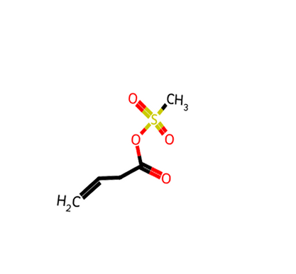 C=CCC(=O)OS(C)(=O)=O